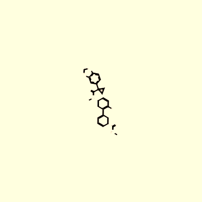 CNC(=O)[C@H]1C=CC=C(C2=C(F)C=C[C@@H](N(C)C(=O)C3(c4ccc5c(c4)OCO5)CC3)C2)C1